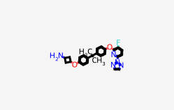 CC(C)(c1ccc(Oc2nc(-n3nccn3)ccc2F)cc1)c1ccc(OC2CC(N)C2)cc1